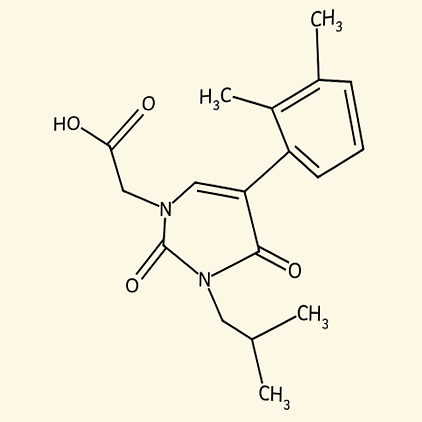 Cc1cccc(-c2cn(CC(=O)O)c(=O)n(CC(C)C)c2=O)c1C